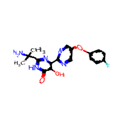 CC(C)(N)c1nc(-c2ncc(Oc3ccc(F)cc3)cn2)c(O)c(=O)[nH]1